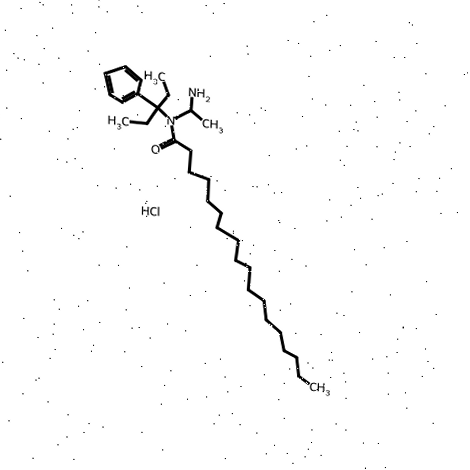 CCCCCCCCCCCCCCCCCC(=O)N(C(C)N)C(CC)(CC)c1ccccc1.Cl